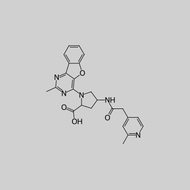 Cc1cc(CC(=O)NC2CC(C(=O)O)N(c3nc(C)nc4c3oc3ccccc34)C2)ccn1